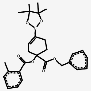 Cc1ccccc1C(=O)OC1(C(=O)OCc2ccccc2)CC=C(B2OC(C)(C)C(C)(C)O2)CC1